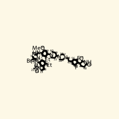 CCc1cc(Nc2ncc(Br)c(Nc3ccc(CC)c4ccn(S(C)(=O)=O)c34)n2)c(OC)cc1N1CCC(N2CCN(CCc3cc(F)c(C4CCC(=O)NC4=O)c(F)c3)CC2)CC1